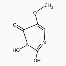 COc1cnc(O)n(O)c1=O